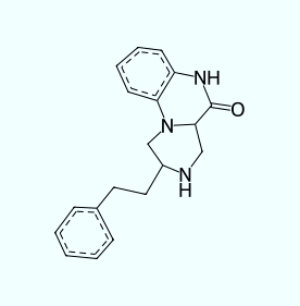 O=C1Nc2ccccc2N2CC(CCc3ccccc3)NCC12